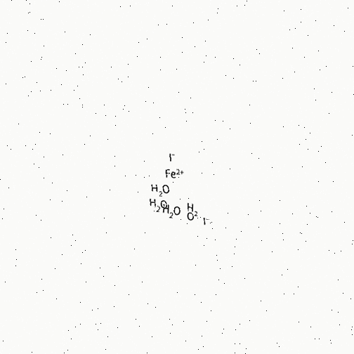 O.O.O.O.[Fe+2].[I-].[I-]